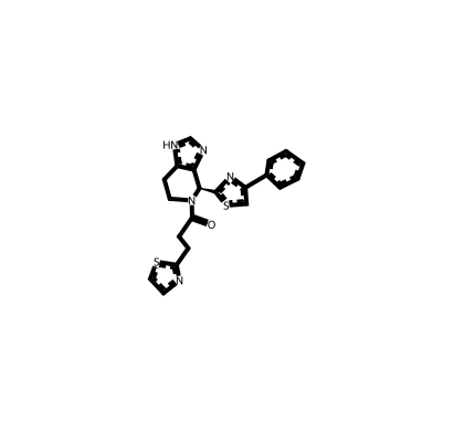 O=C(CCc1nccs1)N1CCc2[nH]cnc2[C@H]1c1nc(-c2ccccc2)cs1